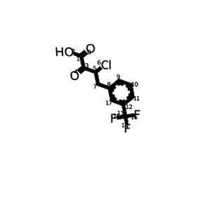 O=C(O)C(=O)C(Cl)Cc1cccc(C(F)(F)F)c1